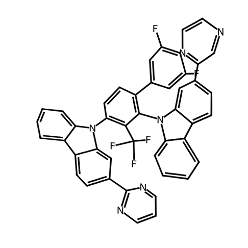 Fc1cc(F)cc(-c2ccc(-n3c4ccccc4c4ccc(-c5ncccn5)cc43)c(C(F)(F)F)c2-n2c3ccccc3c3ccc(-c4cnccn4)cc32)c1